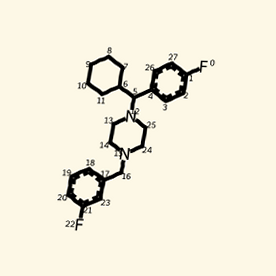 Fc1ccc(C(C2CCCCC2)N2CCN(Cc3cccc(F)c3)CC2)cc1